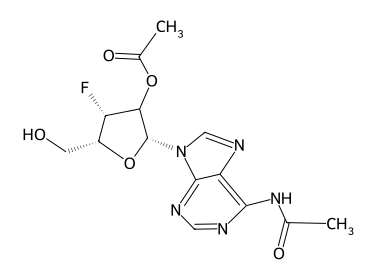 CC(=O)Nc1ncnc2c1ncn2[C@@H]1O[C@H](CO)[C@H](F)C1OC(C)=O